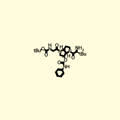 CC(C)(C)OC(=O)NCC(=O)N1C[C@H](OC(=O)Nc2ccccc2)[C@@H]2[C@H]1CCN2C(=O)[C@@H](N)C(C)(C)C